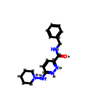 O=C(NCc1ccccc1)c1ccc(NN2CCCCC2)nn1